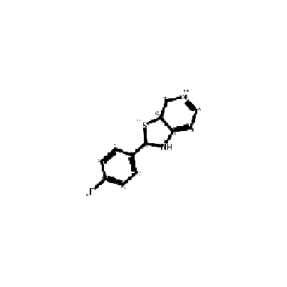 Fc1ccc(C2NC3=CC=NCC3S2)cc1